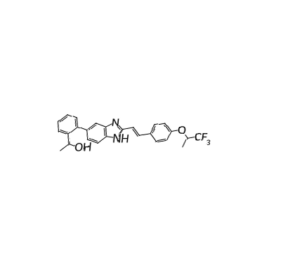 CC(O)c1ccccc1-c1ccc2[nH]c(/C=C/c3ccc(OC(C)C(F)(F)F)cc3)nc2c1